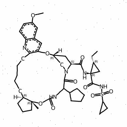 CC[C@@H]1C[C@]1(NC(=O)[C@@H]1C[C@@H]2CN1C(=O)C(C1CCCC1)NC(=O)O[C@]1(C)CCC[C@H]1CCCCCc1nc3ccc(OC)cc3cc1O2)C(=O)NS(=O)(=O)C1CC1